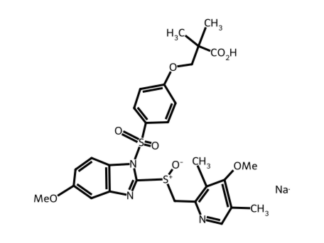 COc1ccc2c(c1)nc([S+]([O-])Cc1ncc(C)c(OC)c1C)n2S(=O)(=O)c1ccc(OCC(C)(C)C(=O)O)cc1.[Na]